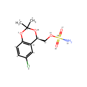 CC1(C)Oc2ccc(Cl)cc2[C@H](COS(N)(=O)=O)O1